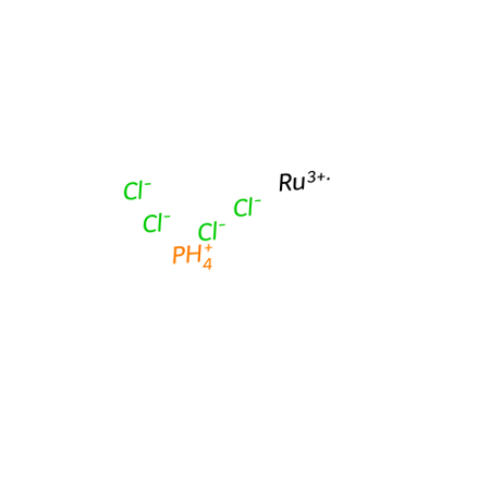 [Cl-].[Cl-].[Cl-].[Cl-].[PH4+].[Ru+3]